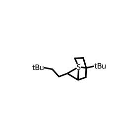 CC(C)(C)CCC1C2CC3(C(C)(C)C)CCS123